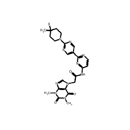 Cn1c(=O)c2c(ncn2CC(=O)Nc2ccnc(-c3cnc(N4CCC(C)(F)CC4)nc3)n2)n(C)c1=O